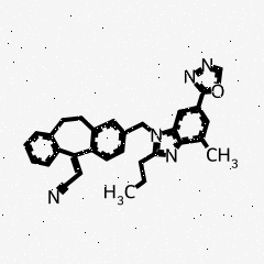 CCCc1nc2c(C)cc(-c3nnco3)cc2n1Cc1ccc2c(c1)CCc1ccccc1C2=CC#N